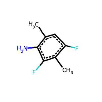 Cc1cc(F)c(C)c(F)c1N